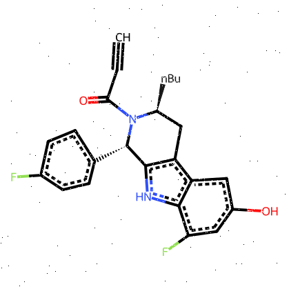 C#CC(=O)N1[C@@H](CCCC)Cc2c([nH]c3c(F)cc(O)cc23)[C@@H]1c1ccc(F)cc1